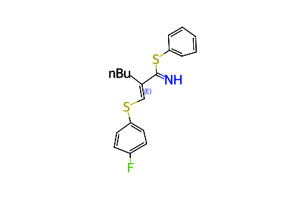 CCCC/C(=C\Sc1ccc(F)cc1)C(=N)Sc1ccccc1